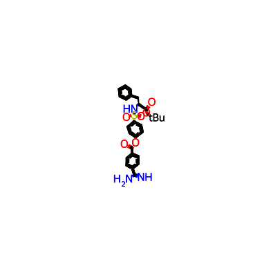 CC(C)(C)OC(=O)[C@H](Cc1ccccc1)NS(=O)(=O)c1ccc(OC(=O)c2ccc(C(=N)N)cc2)cc1